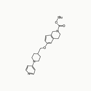 CC(C)(C)OC(=O)N1CCc2cc(OCC3CCN(c4ccncc4)CC3)ccc2C1